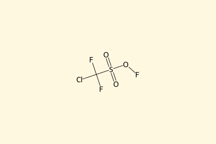 O=S(=O)(OF)C(F)(F)Cl